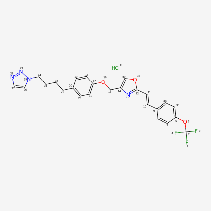 Cl.FC(F)(F)Oc1ccc(/C=C/c2nc(COc3ccc(CCCCn4ccnn4)cc3)co2)cc1